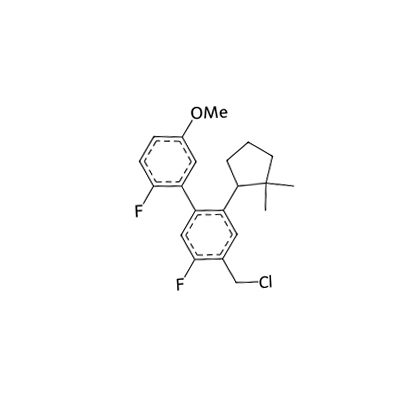 COc1ccc(F)c(-c2cc(F)c(CCl)cc2C2CCCC2(C)C)c1